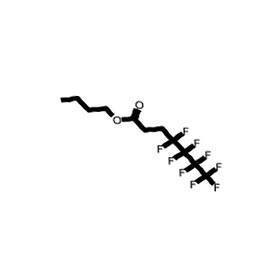 CCCCOC(=O)CCC(F)(F)C(F)(F)C(F)(F)C(F)(F)F